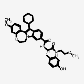 COCCNC(=O)[C@H](Cc1ccc(O)cc1)NC(=O)c1ccc2c(C3CCCCC3)c3n(c2c1)CCOc1cc(OC)ccc1-3